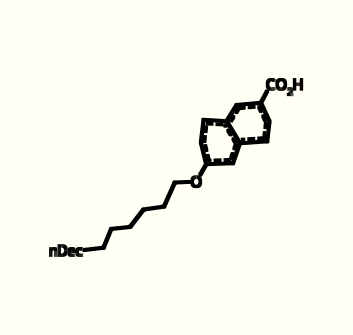 CCCCCCCCCCCCCCCCOc1ccc2cc(C(=O)O)ccc2c1